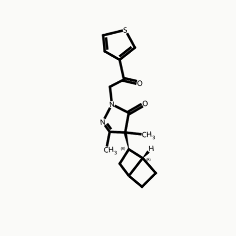 CC1=NN(CC(=O)c2ccsc2)C(=O)C1(C)[C@@H]1CC2CC[C@H]21